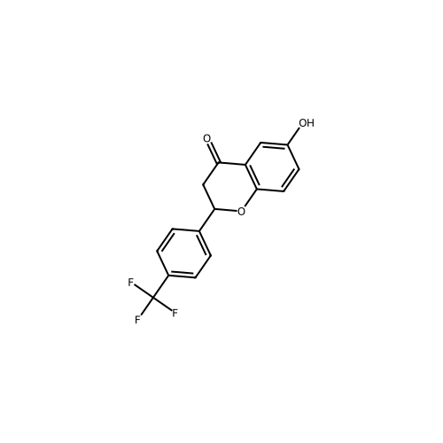 O=C1CC(c2ccc(C(F)(F)F)cc2)Oc2ccc(O)cc21